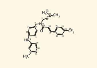 Cc1cc(Nc2ccc(CN(CCN(C)C)C(=O)/C=C/c3ccc(C(F)(F)F)cc3)cc2)ccn1